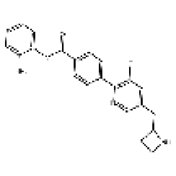 Nc1ccccc1NC(=O)c1ccc(-c2ncc(CC3CCN3)cc2F)cc1